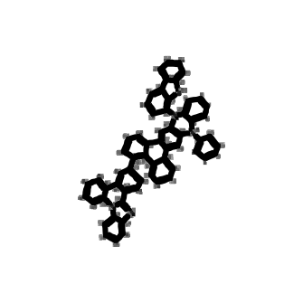 c1ccc(N2c3ccccc3N(c3cccc4c3sc3ccccc34)c3cc4c(cc32)c2ccccc2c2c(-c3ccc5c(c3)c3ccccc3n3c6ccccc6nc53)cccc42)cc1